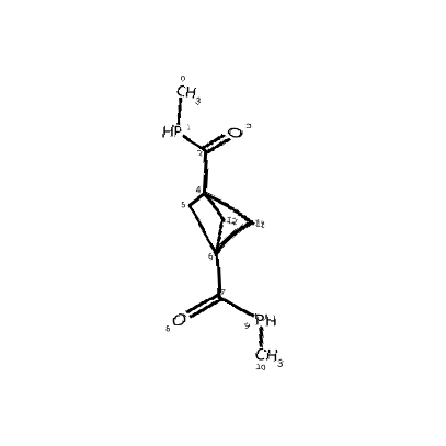 CPC(=O)C12CC(C(=O)PC)(C1)C2